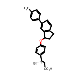 CC[C@@H](CC(=O)O)c1ccc(OC2CCc3ccc(-c4ccc(C(F)(F)F)cc4)cc32)cc1